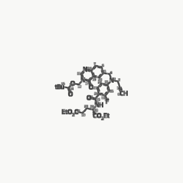 C#CCN(Cc1ccc2ncn(COC(=O)C(C)(C)C)c(=O)c2c1)c1ccc(C(=O)N[C@H](CCC(=O)OCC)C(=O)OCC)c(F)c1